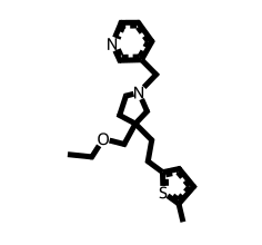 CCOCC1(CCc2ccc(C)s2)CCN(Cc2cccnc2)C1